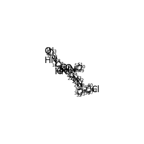 O=C(NS(=O)(=O)c1ccc(NCC2=CCOC=C2)cc1)c1ccc(N2CCN(Cc3ccccc3-c3ccc(Cl)cc3)CC2)cc1Nc1ccccc1